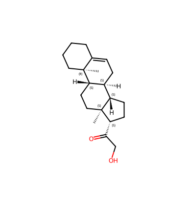 C[C@]12CC[C@H]3[C@@H](CC=C4CCCC[C@@]43C)[C@@H]1CC[C@@H]2C(=O)CO